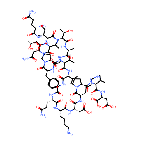 CC[C@H](C)[C@H](NC(=O)[C@H](CC(N)=O)NC(=O)[C@@H](NC(=O)[C@@H](NC(=O)[C@@H](N)CCC(N)=O)[C@@H](C)O)C(C)C)C(=O)N[C@H](C(=O)N[C@@H](C)C(=O)NCC(=O)N[C@@H](Cc1ccccc1)C(=O)N1CCC[C@H]1C(=O)N[C@H](C(=O)N[C@H](C(=O)NCC(=O)N[C@@H](CCC(N)=O)C(=O)N[C@@H](CCCCN)C(=O)N[C@@H](CC(=O)O)C(=O)N[C@@H](CCCCN)C(=O)N1CCC[C@H]1C(=O)N[C@H](C(=O)N[C@@H](CC(=O)O)C(=O)O)C(C)C)C(C)C)C(C)C)[C@@H](C)O